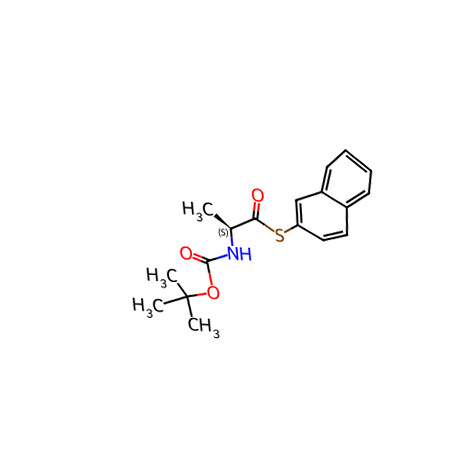 C[C@H](NC(=O)OC(C)(C)C)C(=O)Sc1ccc2ccccc2c1